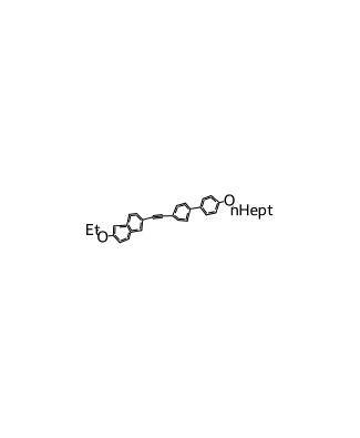 CCCCCCCOc1ccc(-c2ccc(C#Cc3ccc4cc(OCC)ccc4c3)cc2)cc1